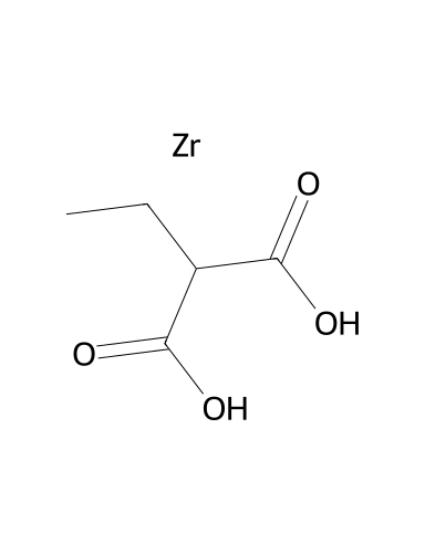 CCC(C(=O)O)C(=O)O.[Zr]